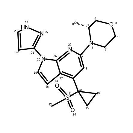 C[C@@H]1COCCN1c1cc(C2(S(C)(=O)=O)CC2)c2ccn(-c3cc[nH]n3)c2n1